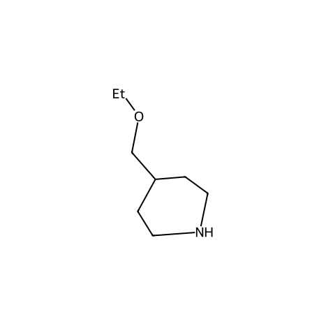 CCOCC1CCNCC1